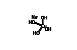 [Na].[OH][Cu]([OH])([OH])[OH]